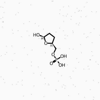 O=P(O)(O)OC[C@@H]1CC[C@H](O)O1